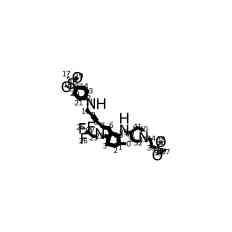 Cc1ccc2c(cc(C#CCNc3ccc(S(C)(=O)=O)cc3)n2CC(F)(F)F)c1NC1CCN(CCS(C)(=O)=O)CC1